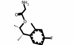 Cc1cc(F)ccc1[C@H](C)[C@H](C)OC(=O)CN